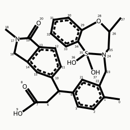 Cc1ccc(C(CC(=O)O)c2ccc3c(c2)CN(C)C3=O)cc1CN1CC(C)Oc2ccccc2S1(O)O